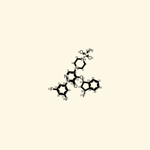 CC(C)S(=O)(=O)N1CCN(c2cnn(-c3cc(F)cc(F)c3)c(=O)c2O[C@@H]2C[C@H](F)c3ccccc32)CC1